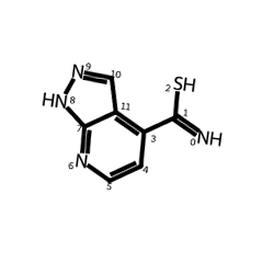 N=C(S)c1ccnc2[nH]ncc12